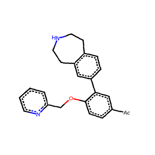 CC(=O)c1ccc(OCc2ccccn2)c(-c2ccc3c(c2)CCNCC3)c1